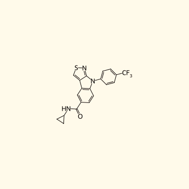 O=C(NC1CC1)c1ccc2c(c1)c1csnc1n2-c1ccc(C(F)(F)F)cc1